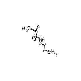 C=C(I)C(=O)NCCC[SiH3]